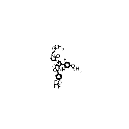 COCCN1CCC(N2C[C@@H](c3c(F)cc(OC)cc3F)[C@H](NC(=O)c3ccc(OC(F)(F)F)cc3)C2=O)C1=O